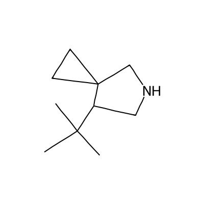 CC(C)(C)C1CNCC12CC2